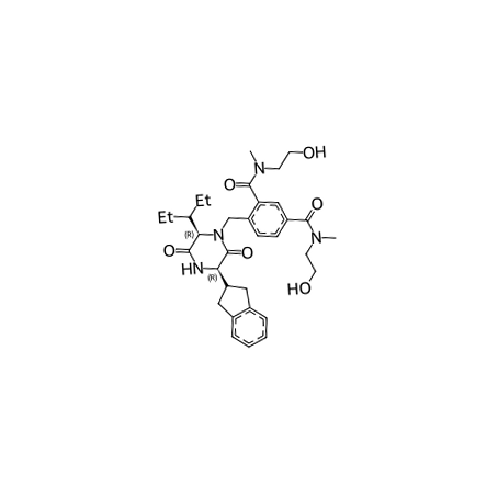 CCC(CC)[C@@H]1C(=O)N[C@H](C2Cc3ccccc3C2)C(=O)N1Cc1ccc(C(=O)N(C)CCO)cc1C(=O)N(C)CCO